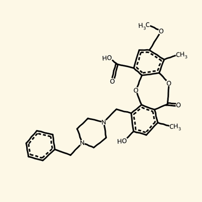 COc1cc(C(=O)O)c2c(c1C)OC(=O)c1c(C)cc(O)c(CN3CCN(Cc4ccccc4)CC3)c1O2